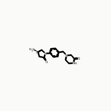 N[C@@H]1CC(=O)N(c2ccc(CN3CCNC(=O)C3)cc2)C1